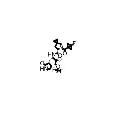 O=C1NCC[C@H]1C[C@H](NC(=O)[C@@H]1CC2(CC2)CN1C(=O)C12CC1(F)C2)C(=O)COC(F)(F)F